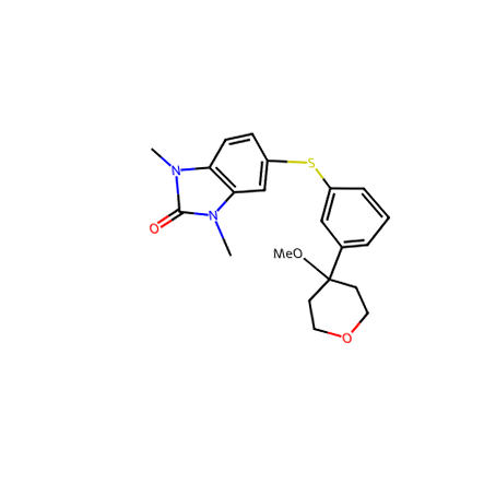 COC1(c2cccc(Sc3ccc4c(c3)n(C)c(=O)n4C)c2)CCOCC1